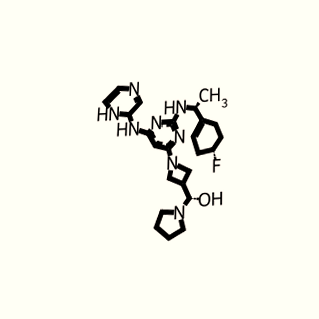 C[C@H](Nc1nc(NC2C=NC=CN2)cc(N2CC([C@H](O)N3CCCC3)C2)n1)C1=CC[C@@H](F)CC1